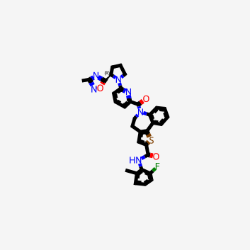 Cc1noc([C@H]2CCCN2c2cccc(C(=O)N3CCc4cc(C(=O)Nc5c(C)cccc5F)sc4-c4ccccc43)n2)n1